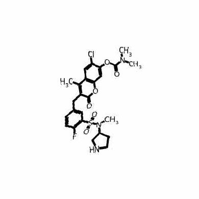 Cc1c(Cc2ccc(F)c(S(=O)(=O)N(C)C3CCNC3)c2)c(=O)oc2cc(OC(=O)N(C)C)c(Cl)cc12